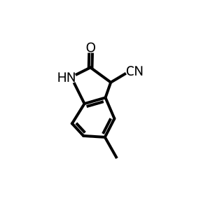 Cc1ccc2c(c1)C(C#N)C(=O)N2